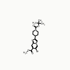 COC(=O)c1cc2nc(C3CCN(C(=O)OC(C)(C)C)CC3)cn2cc1Br